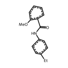 [CH2]Cc1ccc(NC(=O)c2ccccc2OC)cc1